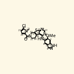 COc1cc2[nH]ncc2cc1Nc1ncnc2sc3c(c12)CCN(C(=O)c1ccc(Cl)n1C)C3